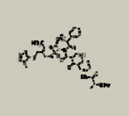 CC(=O)NC(C)C(=O)Nc1ccc2[nH]cc(C(=O)N(C(=O)C(N)c3ccccc3)C3C(=O)N4C(C(=O)O)=C(CSc5nnnn5C)CS[C@@H]34)c(=O)c2c1